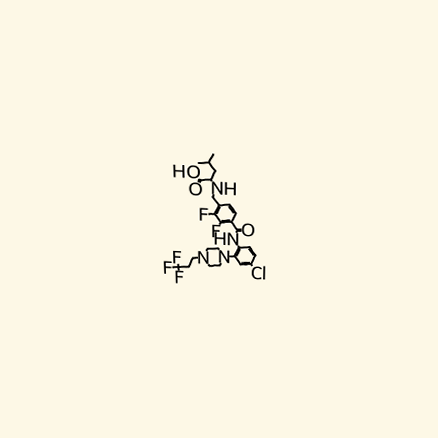 CC(C)CC(NCc1ccc(C(=O)Nc2ccc(Cl)cc2N2CCN(CCC(F)(F)F)CC2)c(F)c1F)C(=O)O